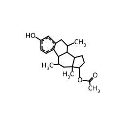 CC(=O)OC1CCC2C3C(C)Cc4cc(O)ccc4C3C(C)CC12C